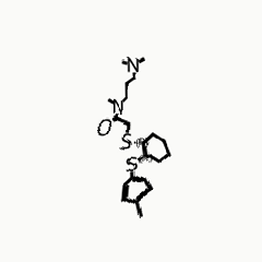 Cc1ccc(S[C@@H]2CCCC[C@H]2SCC(=O)N(C)CCCN(C)C)cc1